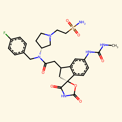 CNC(=O)Nc1ccc2c(c1)C(CC(=O)N(Cc1ccc(F)cc1)[C@@H]1CCN(CCS(N)(=O)=O)C1)C[C@@]21OC(=O)NC1=O